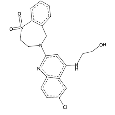 O=S1(=O)CCN(c2cc(NCCO)c3cc(Cl)ccc3n2)Cc2ccccc21